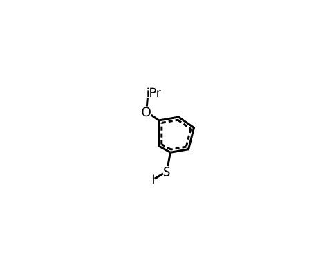 CC(C)Oc1cccc(SI)c1